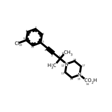 CC(C)(C#Cc1cccc(Cl)c1)N1CCN(C(=O)O)CC1